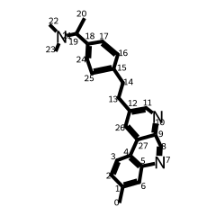 Cc1ccc2c(c1)ncc1ncc(CCc3ccc(C(C)N(C)C)cc3)cc12